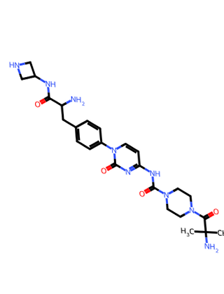 CC(C)(N)C(=O)N1CCN(C(=O)Nc2ccn(-c3ccc(CC(N)C(=O)NC4CNC4)cc3)c(=O)n2)CC1